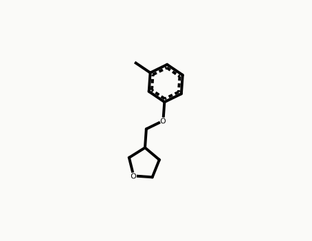 Cc1cccc(OCC2CCOC2)c1